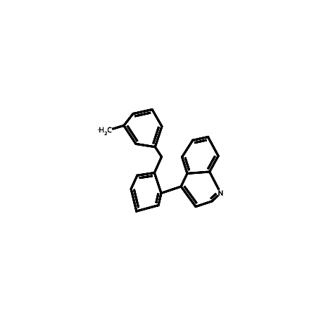 [CH2]c1cccc(Cc2ccccc2-c2ccnc3ccccc23)c1